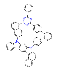 c1ccc(-c2ccc(-c3nc(-c4ccccc4)nc(-c4cccc5cc(-n6c7ccccc7c7cc8c9c%10ccccc%10ccc9n(-c9ccccc9)c8cc76)ccc45)n3)cc2)cc1